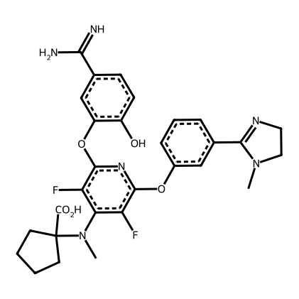 CN1CCN=C1c1cccc(Oc2nc(Oc3cc(C(=N)N)ccc3O)c(F)c(N(C)C3(C(=O)O)CCCC3)c2F)c1